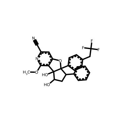 COc1nc(C#N)cc2c1C1(O)C(O)CC(c3ccccc3)C1(c1ccc(CC(F)(F)F)cc1)O2